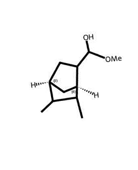 COC(O)C1C[C@H]2C[C@@H]1C(C)C2C